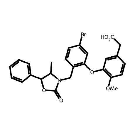 COc1ccc(CC(=O)O)cc1Oc1cc(Br)ccc1CN1C(=O)OC(c2ccccc2)C1C